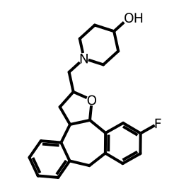 OC1CCN(CC2CC3c4ccccc4Cc4ccc(F)cc4C3O2)CC1